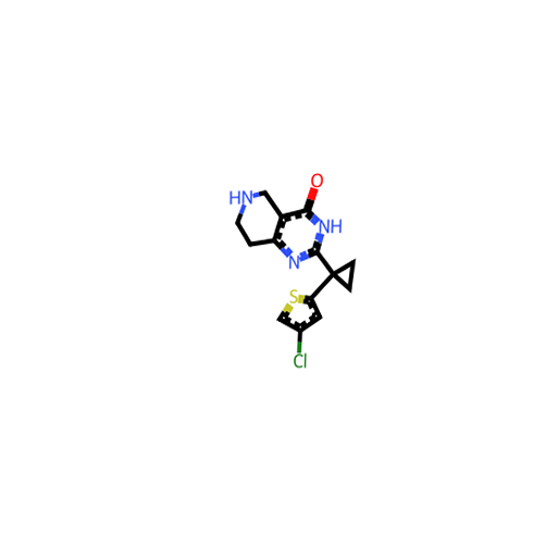 O=c1[nH]c(C2(c3cc(Cl)cs3)CC2)nc2c1CNCC2